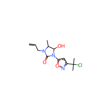 C=CCN1C(=O)N(c2cc(C(C)(C)Cl)no2)C(O)C1C